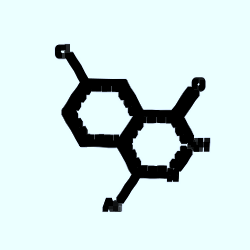 CC(=O)c1n[nH]c(=O)c2cc(Cl)ccc12